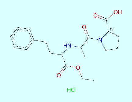 CCOC(=O)C(CCc1ccccc1)NC(C)C(=O)N1CCC[C@H]1C(=O)O.Cl